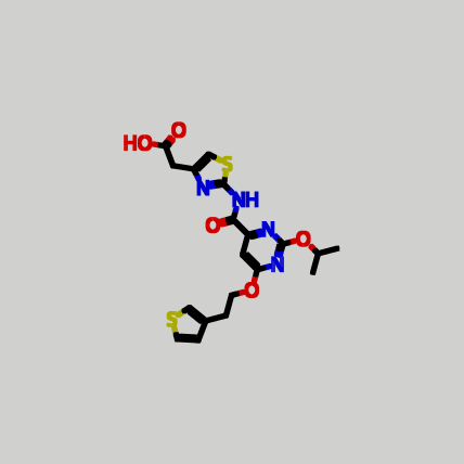 CC(C)Oc1nc(OCCc2ccsc2)cc(C(=O)Nc2nc(CC(=O)O)cs2)n1